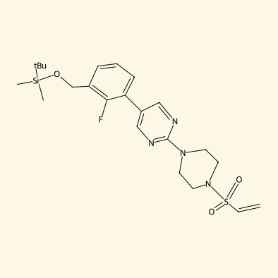 C=CS(=O)(=O)N1CCN(c2ncc(-c3cccc(CO[Si](C)(C)C(C)(C)C)c3F)cn2)CC1